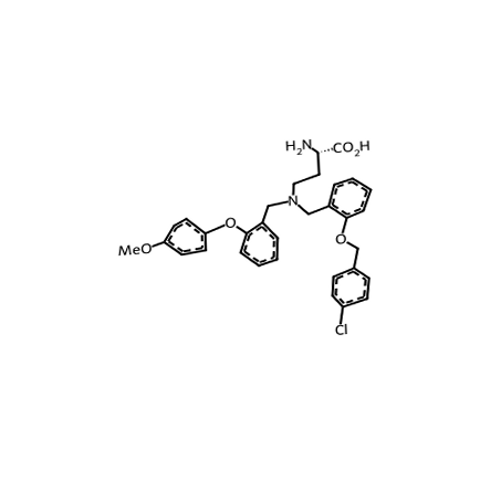 COc1ccc(Oc2ccccc2CN(CC[C@H](N)C(=O)O)Cc2ccccc2OCc2ccc(Cl)cc2)cc1